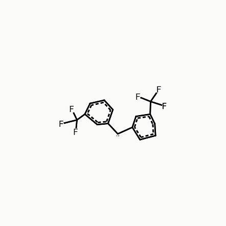 FC(F)(F)c1cccc([C]c2cccc(C(F)(F)F)c2)c1